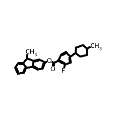 CC1CCC(c2ccc(C(=O)Oc3ccc4c(c3)C(C)c3ccccc3-4)c(F)c2)CC1